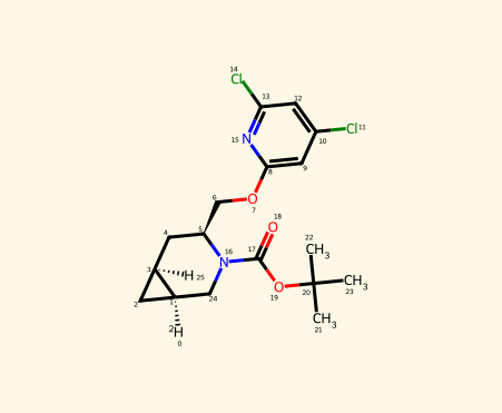 [2H][C@]12C[C@H]1C[C@@H](COc1cc(Cl)cc(Cl)n1)N(C(=O)OC(C)(C)C)C2